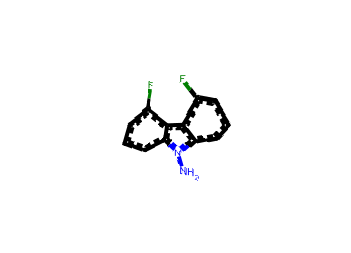 Nn1c2cccc(F)c2c2c(F)cccc21